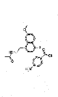 COc1ccc2c(F)ccc(CCNC(C)=O)c2c1.Nc1ccc(C(=O)O)cc1